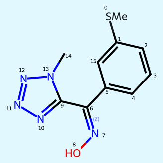 CSc1cccc(/C(=N/O)c2nnnn2C)c1